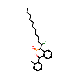 CCCCCCCCCCC(Cl)C(P=O)c1ccccc1C(=O)c1ccccc1C